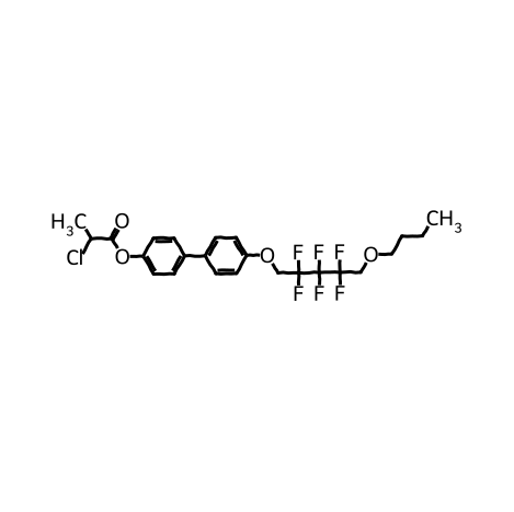 CCCCOCC(F)(F)C(F)(F)C(F)(F)COc1ccc(-c2ccc(OC(=O)C(C)Cl)cc2)cc1